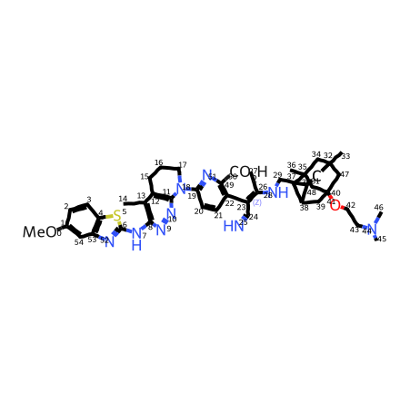 COc1ccc2sc(Nc3nnc4c(c3C)CCCN4c3ccc(/C(C=N)=C(\C)NCC4CC5(C)CC6(C)CC4CC(OCCN(C)C)(C5)C6)c(C(=O)O)n3)nc2c1